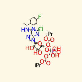 CC(C)OC(=O)OCC(COC(=O)OC(C)C)(OC[C@H]1O[C@@H](n2cnc3c(NC(C)c4ccc(F)cc4)nc(Cl)nc32)[C@H](O)[C@@H]1O)P(=O)(O)O